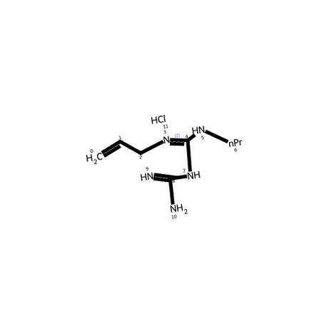 C=CC/N=C(/NCCC)NC(=N)N.Cl